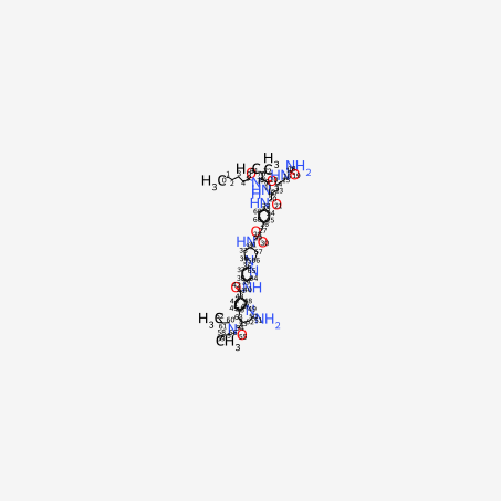 CCCCCC(=O)N[C@H](C(=O)N[C@@H](CCCNC(N)=O)C(=O)Nc1ccc(COC(=O)NC2CCN(c3ccc(NC(=O)c4ccc5c(c4)N=C(N)CC(C(=O)N(CCC)CCC)=C5)cn3)CC2)cc1)C(C)C